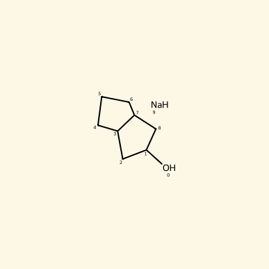 OC1CC2CCCC2C1.[NaH]